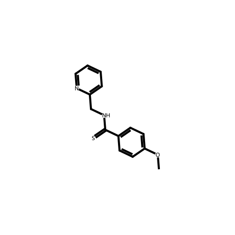 COc1ccc(C(=S)NCc2ccccn2)cc1